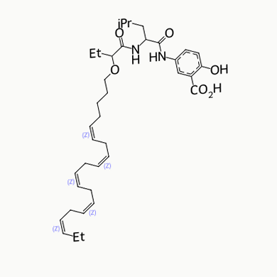 CC/C=C\C/C=C\C/C=C\C/C=C\C/C=C\CCCCOC(CC)C(=O)NC(CC(C)C)C(=O)Nc1ccc(O)c(C(=O)O)c1